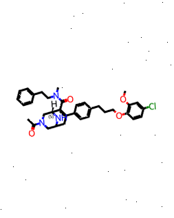 COc1cc(Cl)ccc1OCCCc1ccc(C2=C(C(=O)N(C)CCc3ccccc3)[C@H]3CN(C(C)=O)CC(C2)N3)cc1